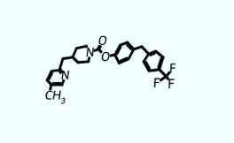 Cc1ccc(CC2CCN(C(=O)Oc3ccc(Cc4ccc(C(F)(F)F)cc4)cc3)CC2)nc1